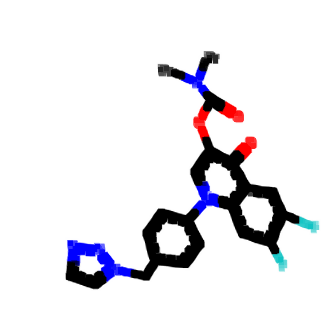 CC(C)N(C(=O)Oc1cn(-c2ccc(Cn3ccnn3)cc2)c2cc(F)c(F)cc2c1=O)C(C)C